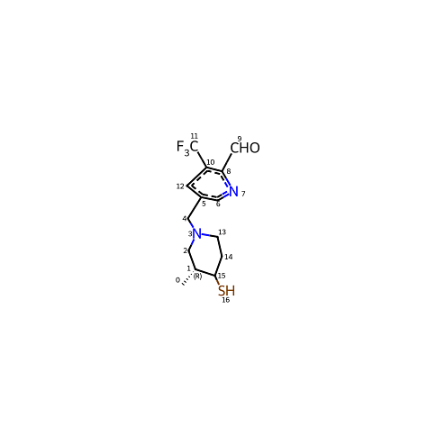 C[C@@H]1CN(Cc2cnc(C=O)c(C(F)(F)F)c2)CCC1S